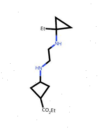 CCOC(=O)C1CC(NCCNC2(CC)CC2)C1